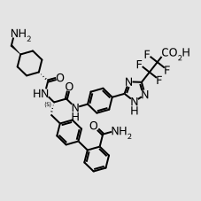 NC[C@H]1CC[C@H](C(=O)N[C@@H](Cc2ccc(-c3ccccc3C(N)=O)cc2)C(=O)Nc2ccc(-c3nc(C(F)(F)C(F)(F)C(=O)O)n[nH]3)cc2)CC1